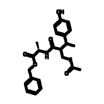 CC(=O)SCC(C(=O)N[C@@H](C)C(=O)OCc1ccccc1)C(C)c1ccc(O)cc1